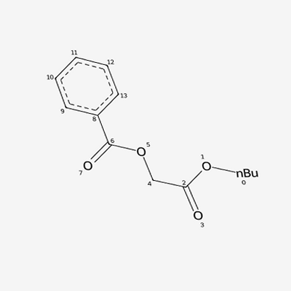 CCCCOC(=O)COC(=O)c1ccccc1